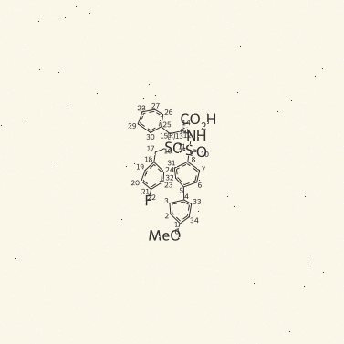 COc1ccc(-c2ccc(S(=O)(=O)N[C@@H](C(=O)O)[C@H](SCc3ccc(F)cc3)c3ccccc3)cc2)cc1